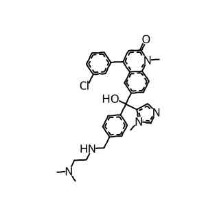 CN(C)CCNCc1ccc(C(O)(c2ccc3c(c2)c(-c2cccc(Cl)c2)cc(=O)n3C)c2cncn2C)cc1